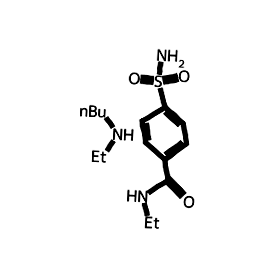 CCCCNCC.CCNC(=O)c1ccc(S(N)(=O)=O)cc1